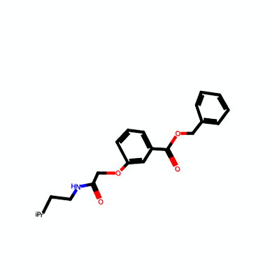 CC(C)CCNC(=O)COc1cccc(C(=O)OCc2ccccc2)c1